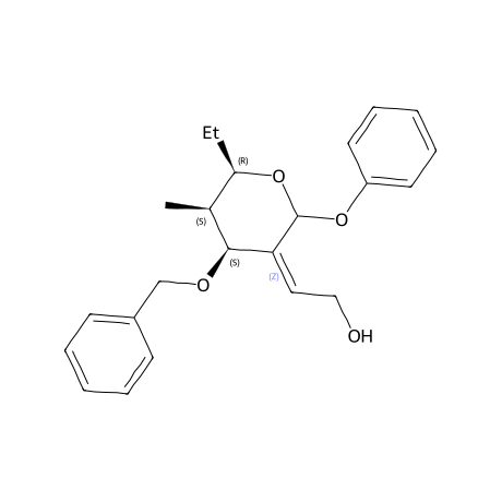 CC[C@H]1OC(Oc2ccccc2)/C(=C\CO)[C@@H](OCc2ccccc2)[C@H]1C